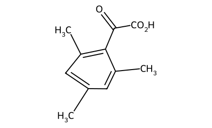 Cc1cc(C)c(C(=O)C(=O)O)c(C)c1